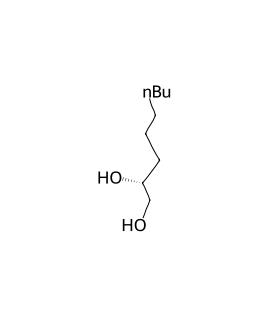 CCCCCCC[C@@H](O)CO